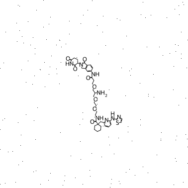 NC(COCCOCCNC(=O)C1(Cc2cccc(Nc3nccs3)n2)CCCCC1)COCCC(=O)Nc1ccc2c(c1)CN(C1CCC(=O)NC1=O)C2=O